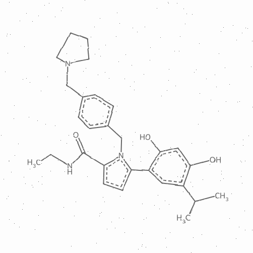 CCNC(=O)c1ccc(-c2cc(C(C)C)c(O)cc2O)n1Cc1ccc(CN2CCCC2)cc1